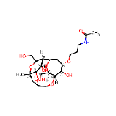 CC(=O)NCCCO[C@H]1CC2O[C@H](CO)[C@@H](OCCC[C@]3(C)OC(CO)[C@@H]2[C@H](O)[C@H]3O)[C@@H]1O